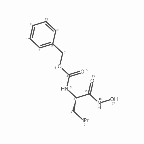 CC(C)C[C@@H](NC(=O)OCc1ccccc1)C(=O)NO